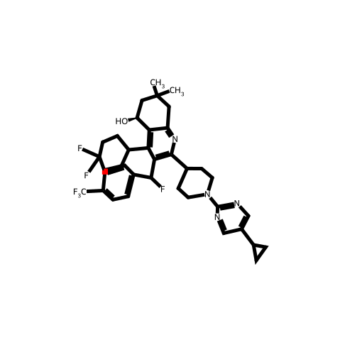 CC1(C)Cc2nc(C3CCN(c4ncc(C5CC5)cn4)CC3)c(C(F)c3ccc(C(F)(F)F)cc3)c(C3CCC(F)(F)CC3)c2[C@@H](O)C1